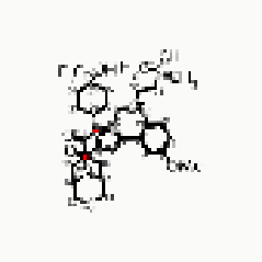 COc1cc(-c2cc(C(=O)N3C4COCC3CC(C(=O)N[C@H]3CC[C@@](O)(C(F)(F)F)CC3)C4)nn2COCC[Si](C)(C)C)c(F)cn1